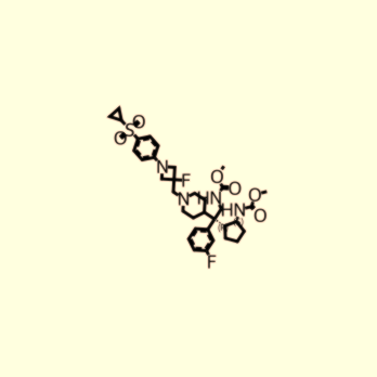 COC(=O)NCC(c1cccc(F)c1)(C1CCN(CC2(F)CN(c3ccc(S(=O)(=O)C4CC4)cc3)C2)CC1)[C@H]1CCC[C@@H]1NC(=O)OC